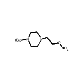 CC(C)(C)N1CCN(CCO[N+](=O)[O-])CC1